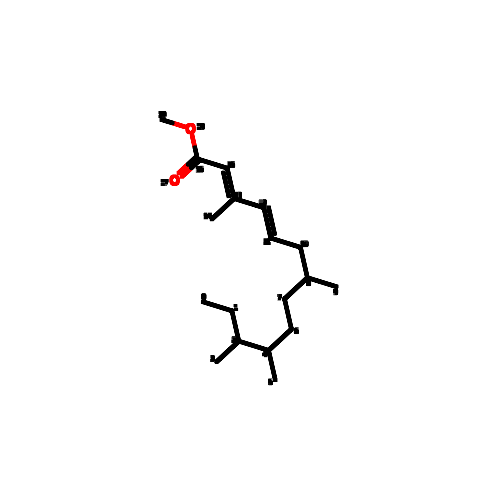 CCC(C)C(C)CCC(C)C/C=C/C(C)=C/C(=O)OC